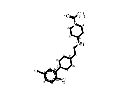 CC(=O)N1CCC(NCCC2CCC(c3cc(F)ccc3Cl)CC2)CC1